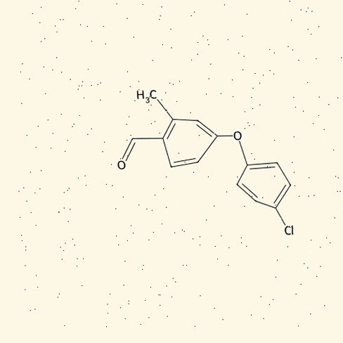 Cc1cc(Oc2ccc(Cl)cc2)ccc1C=O